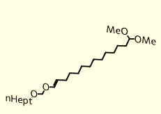 CCCCCCCOCOC=CCCCCCCCCCCCC(OC)OC